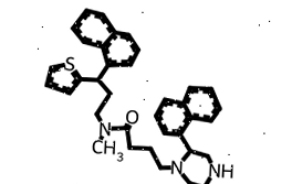 CN(CCC(c1cccs1)c1cccc2ccccc12)C(=O)CCCN1CCNCC1c1cccc2ccccc12